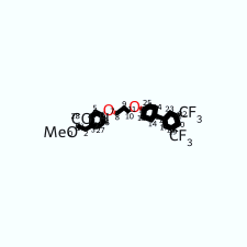 CO[C@@H](Cc1ccc(OCCCOc2ccc(-c3cc(C(F)(F)F)cc(C(F)(F)F)c3)cc2)cc1)C(=O)O